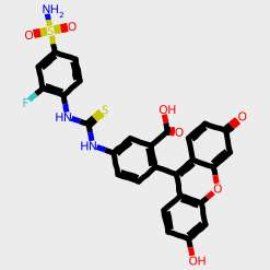 NS(=O)(=O)c1ccc(NC(=S)Nc2ccc(-c3c4ccc(=O)cc-4oc4cc(O)ccc34)c(C(=O)O)c2)c(F)c1